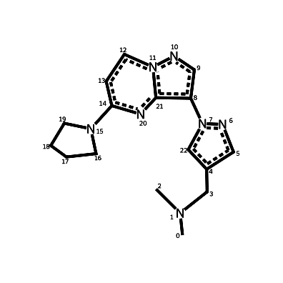 CN(C)Cc1cnn(-c2cnn3ccc(N4CCCC4)nc23)c1